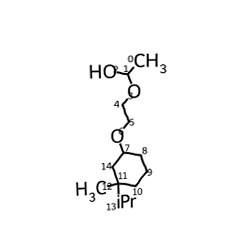 CC(O)OCCOC1CCCC(C)(C(C)C)C1